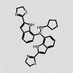 c1cc(N(NC2CCCC2)c2cccc3cc(C4=NCCS4)[nH]c23)c2[nH]c(C3=NCCS3)cc2c1